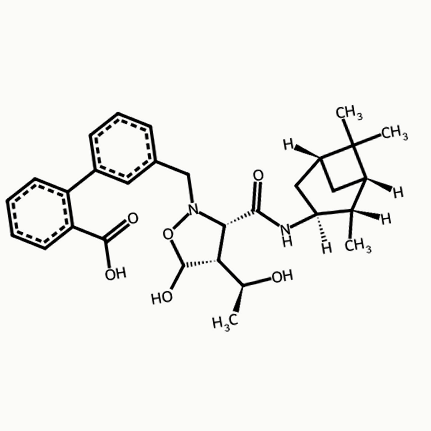 C[C@@H]1[C@@H](NC(=O)[C@@H]2[C@H]([C@H](C)O)C(O)ON2Cc2cccc(-c3ccccc3C(=O)O)c2)C[C@H]2C[C@@H]1C2(C)C